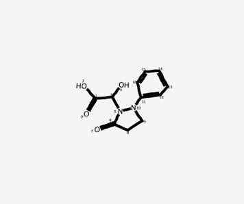 O=C(O)C(O)N1C(=O)CCN1c1ccccc1